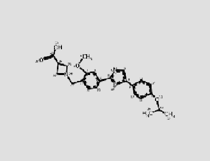 COc1cc(-c2ncc(-c3ccc(OC(C)C)cc3)s2)ccc1CN1CC(C(=O)O)C1